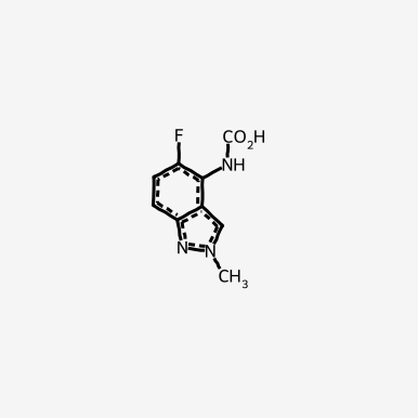 Cn1cc2c(NC(=O)O)c(F)ccc2n1